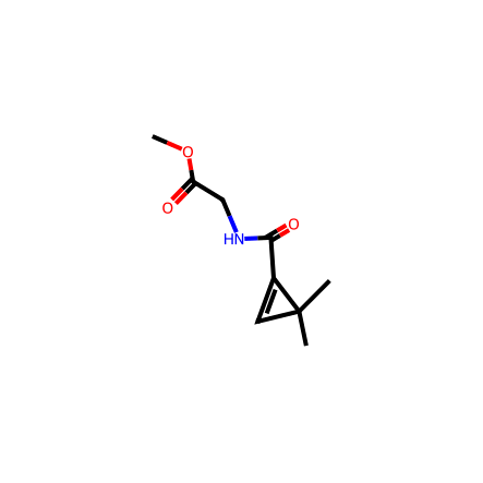 COC(=O)CNC(=O)C1=CC1(C)C